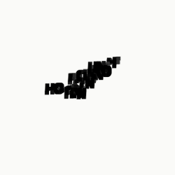 O=C(Nc1cn2cc(-c3c(Cl)c(F)c(C#CCO)c4[nH]ncc34)ncc2n1)C1CC1F